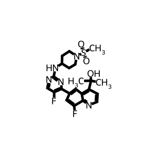 CC(C)(O)c1ccnc2c(F)cc(-c3nc(NC4CCN(S(C)(=O)=O)CC4)ncc3F)cc12